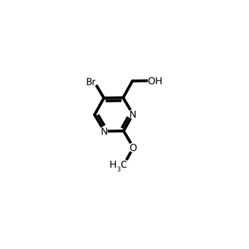 COc1ncc(Br)c(CO)n1